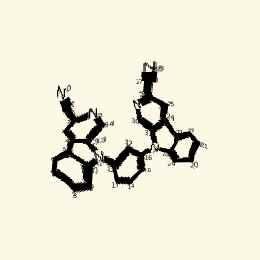 N#Cc1cc2c3ccccc3n(-c3cccc(-n4c5ccccc5c5cc(C#N)ncc54)c3)c2cn1